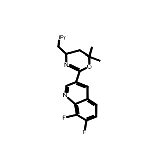 CC(C)CC1CC(C)(C)OC(c2cnc3c(F)c(F)ccc3c2)=N1